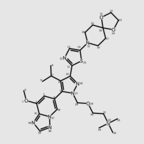 COc1cc(-c2c(C(C)C)c(-c3ncc(N4CCC5(CC4)OCCO5)s3)nn2COCC[Si](C)(C)C)cn2ncnc12